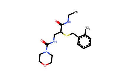 N#CCNC(=O)C(CNC(=O)N1CCOCC1)SCc1ccccc1[N+](=O)[O-]